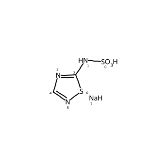 O=S(=O)(O)Nc1ncns1.[NaH]